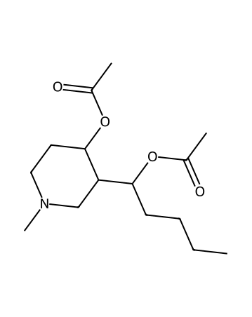 CCCCC(OC(C)=O)C1CN(C)CCC1OC(C)=O